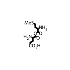 CSCC[C@H](N)C(=O)OC(=O)[C@@H](N)CCC(=O)O